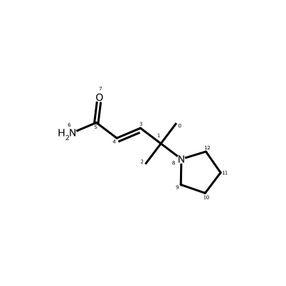 CC(C)(C=CC(N)=O)N1CCCC1